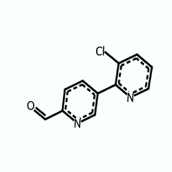 O=Cc1ccc(-c2ncccc2Cl)cn1